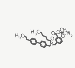 CCCCCC(=O)N(Cc1ccc(-c2ccc(CCC)cc2)cc1)Cc1ccc2c(c1)C(=O)OC(C)(C)O2